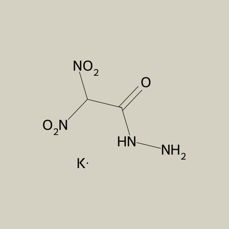 NNC(=O)C([N+](=O)[O-])[N+](=O)[O-].[K]